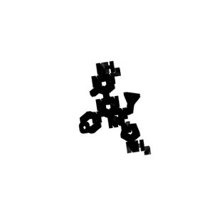 Cc1nc(N)ncc1-c1nc(N2CCOCC2)c2nc(N3CCC(N)C3)n(CC3CC3)c2n1